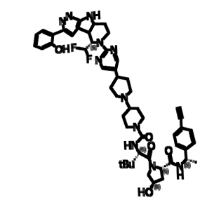 C#Cc1ccc([C@H](C)NC(=O)[C@@H]2C[C@@H](O)CN2C(=O)[C@@H](NC(=O)N2CCC(N3CCC(c4cnc(N5CCC6Nc7nnc(-c8ccccc8O)cc7C6[C@H]5C(F)F)nc4)CC3)CC2)C(C)(C)C)cc1